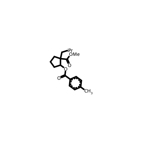 COC(=O)C1(CC(C)C)CCCC1OC(=O)c1ccc(C)cc1